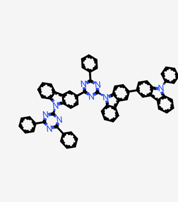 c1ccc(-c2nc(-c3ccc4c(c3)c3ccccc3n4-c3nc(-c4ccccc4)nc(-c4ccccc4)n3)nc(-n3c4ccccc4c4cc(-c5ccc6c(c5)c5ccccc5n6-c5ccccc5)ccc43)n2)cc1